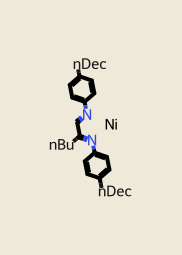 CCCCCCCCCCc1ccc(N=CC(CCCC)=Nc2ccc(CCCCCCCCCC)cc2)cc1.[Ni]